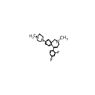 CN1CCN(c2ccc3c(c2)CN(C)CC=C3c2ccc(F)cc2F)CC1